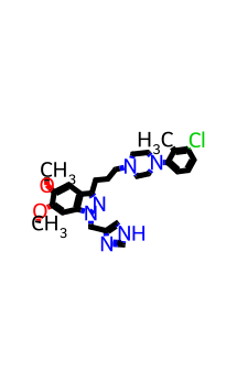 COc1cc2c(CCCN3CCN(c4cccc(Cl)c4C)CC3)nn(Cc3c[nH]cn3)c2cc1OC